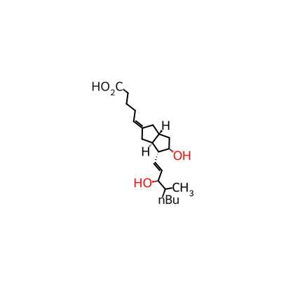 CCCCC(C)[C@@H](O)/C=C/[C@@H]1[C@H]2C/C(=C/CCCC(=O)O)C[C@@H]2C[C@H]1O